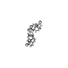 O=C1CSc2ccc(N3C[C@H](CNCC4Cn5c(=O)ccc6ccc(F)c4c65)OC3=O)cc2N1